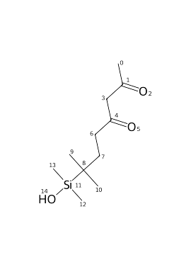 CC(=O)CC(=O)CCC(C)(C)[Si](C)(C)O